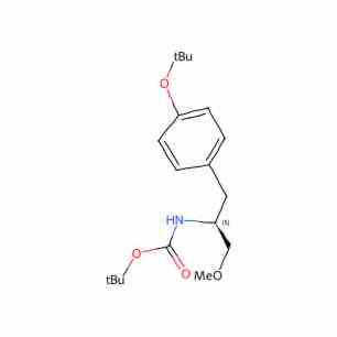 COC[C@H](Cc1ccc(OC(C)(C)C)cc1)NC(=O)OC(C)(C)C